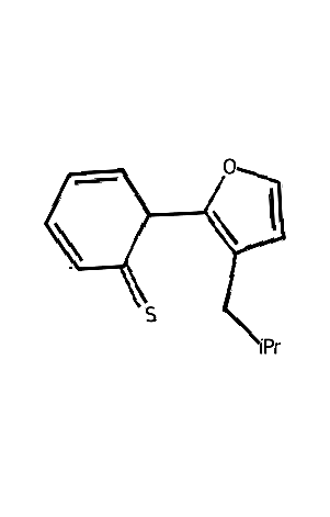 CC(C)Cc1ccoc1C1C=CC=[C]C1=S